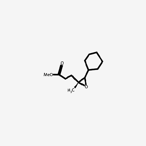 COC(=O)CC[C@@]1(C)OC1C1CCCCC1